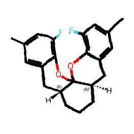 Cc1cc(F)c2c(c1)C[C@H]1CCC[C@@H]3Cc4cc(C)cc(F)c4OC13O2